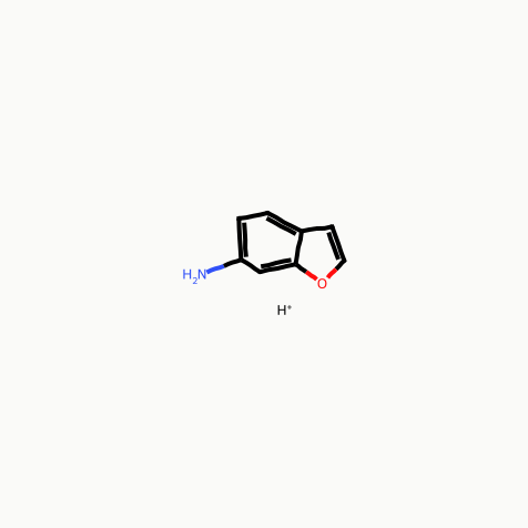 Nc1ccc2ccoc2c1.[H+]